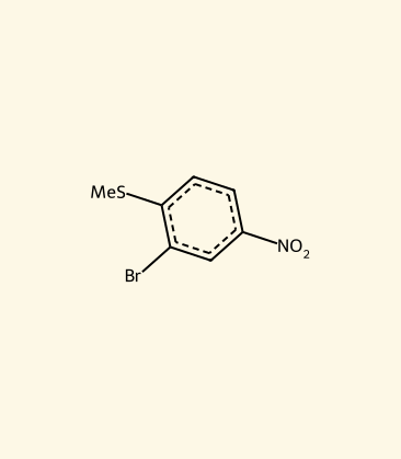 CSc1ccc([N+](=O)[O-])cc1Br